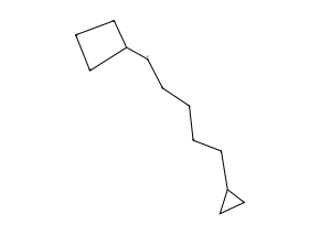 [CH](CCCCC1CC1)C1CCC1